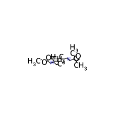 CCOC(=O)/C=C(\C)C=C=CC(C)/C=C/c1c(C)coc1C